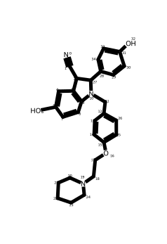 N#CC1c2cc(O)ccc2N(Cc2ccc(OCCN3CCCCC3)cc2)C1c1ccc(O)cc1